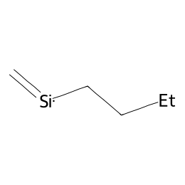 C=[Si]CCCC